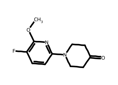 COc1nc(N2CCC(=O)CC2)ccc1F